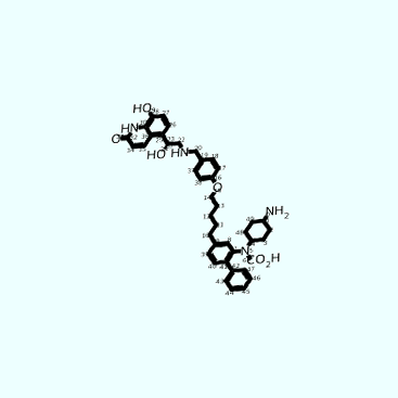 NC1CCC(N(C(=O)O)c2cc(CCCCCOc3ccc(CNC[C@@H](O)c4ccc(O)c5[nH]c(=O)ccc45)cc3)ccc2-c2ccccc2)CC1